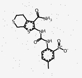 Cc1ccc(NC(=O)Nc2sc3c(c2C(N)=O)CCSC3)c([N+](=O)[O-])c1